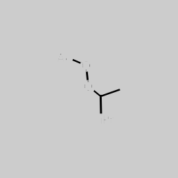 CC(=O)OOC(C)C(C)C